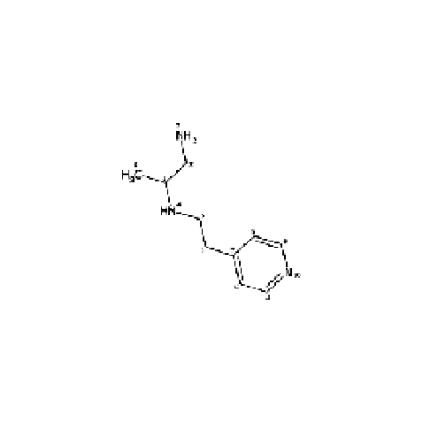 CC(CN)NCCc1ccncc1